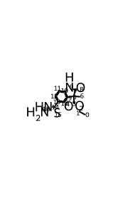 CCOC(=O)C1(C)C(=O)Nc2ccc(C(=S)NN)cc21